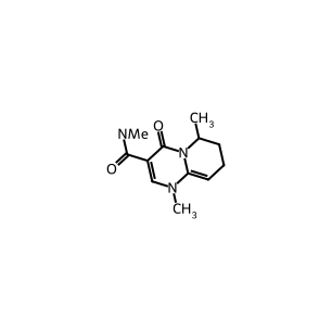 CNC(=O)C1=CN(C)C2=CCCC(C)N2C1=O